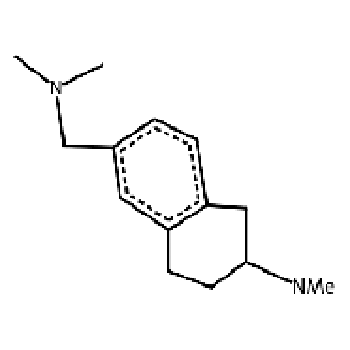 CNC1CCc2cc(CN(C)C)ccc2C1